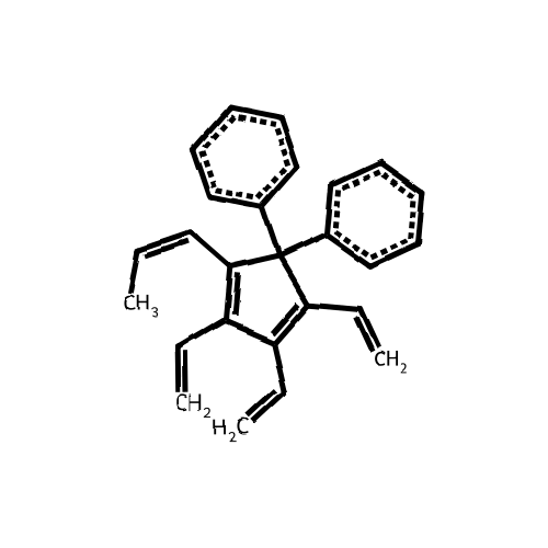 C=CC1=C(C=C)C(c2ccccc2)(c2ccccc2)C(/C=C\C)=C1C=C